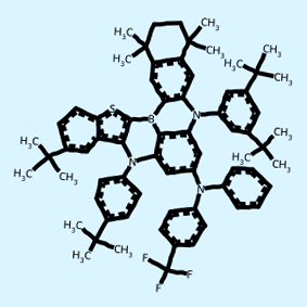 CC(C)(C)c1ccc(N2c3cc(N(c4ccccc4)c4ccc(C(F)(F)F)cc4)cc4c3B(c3cc5c(cc3N4c3cc(C(C)(C)C)cc(C(C)(C)C)c3)C(C)(C)CCC5(C)C)c3sc4ccc(C(C)(C)C)cc4c32)cc1